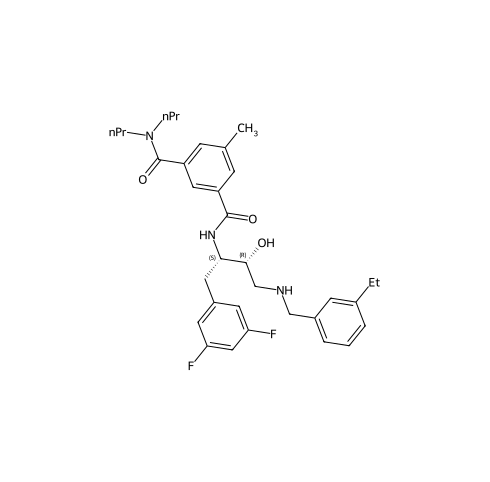 CCCN(CCC)C(=O)c1cc(C)cc(C(=O)N[C@@H](Cc2cc(F)cc(F)c2)[C@H](O)CNCc2cccc(CC)c2)c1